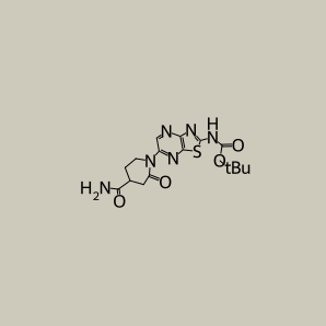 CC(C)(C)OC(=O)Nc1nc2ncc(N3CCC(C(N)=O)CC3=O)nc2s1